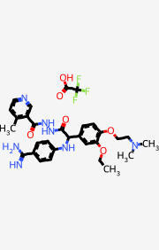 CCOc1cc(C(Nc2ccc(C(=N)N)cc2)C(=O)NNC(=O)c2cnccc2C)ccc1OCCN(C)C.O=C(O)C(F)(F)F